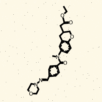 CCOC(=O)CC1COc2ccc(N(C)C(=O)c3ccc(C=NN4CCOCC4)cc3)cc2C1